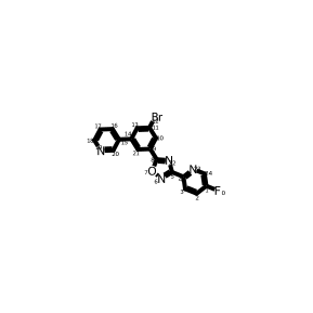 Fc1ccc(-c2noc(-c3cc(Br)cc(-c4cccnc4)c3)n2)nc1